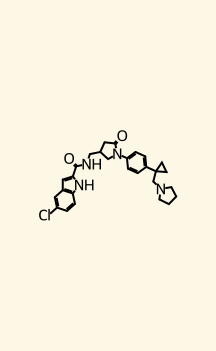 O=C(NCC1CC(=O)N(c2ccc(C3(CN4CCCC4)CC3)cc2)C1)c1cc2cc(Cl)ccc2[nH]1